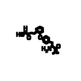 CN(C)C(=O)C(N)Cc1ccc(Oc2ccccc2CCC(=O)NO)cc1